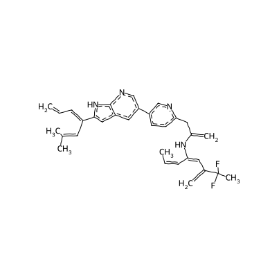 C=C/C=C(\C=C(C)C)c1cc2cc(-c3ccc(CC(=C)NC(/C=C\C)=C/C(=C)C(C)(F)F)nc3)cnc2[nH]1